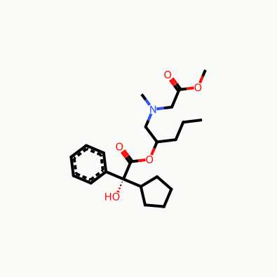 CCCC(CN(C)CC(=O)OC)OC(=O)[C@](O)(c1ccccc1)C1CCCC1